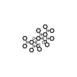 c1ccc(N(c2ccccc2)c2cc3c4c(c2)N(c2ccccc2)c2c(sc5ccccc25)B4c2cc4c(cc2O3)N(c2ccccc2)c2cc(N(c3ccccc3)c3ccccc3)cc3c2B4c2oc4ccccc4c2N3c2ccccc2)cc1